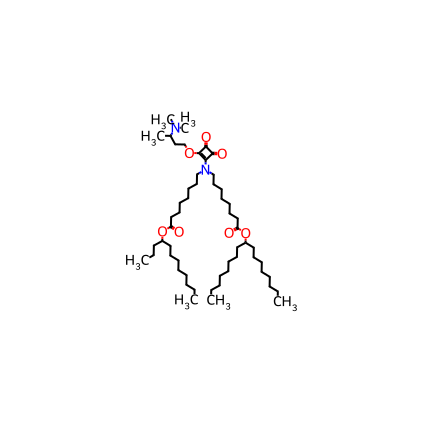 CCCCCCCCC(CCC)OC(=O)CCCCCCCN(CCCCCCCC(=O)OC(CCCCCCCC)CCCCCCCC)c1c(OCCC(C)N(C)C)c(=O)c1=O